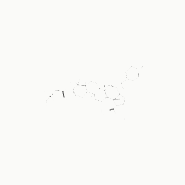 C=C(C)[C@@H]1CC[C@]2(CCN3CC[S+]([O-])CC3)CC[C@]3(C)[C@H](CC[C@@H]4[C@@]5(C)CC[C@H](OC(=O)CC(C)(C)CC(=O)O)C(C)(C)[C@@H]5CC[C@]43C)[C@@H]12